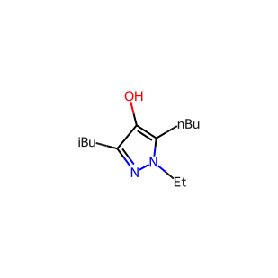 CCCCc1c(O)c(C(C)CC)nn1CC